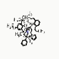 CCCc1cccc(CCC)c1N=C(CCn1cccc1)[C@@H](/C=C/C(C)(C)c1ccccc1)Oc1c(C(C)(C)C)cc(OC)cc1C(C)(C)C